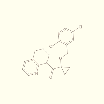 O=C(N1CCCc2cccnc21)C1(OCc2cc(Cl)ccc2Cl)CC1